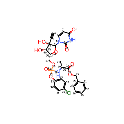 C#C[C@]1(O)C(n2ccc(=O)[nH]c2=O)O[C@H](COP(=O)(N[C@@H](C)C(=O)OCc2ccccc2)Oc2ccc(Cl)cc2)[C@H]1O